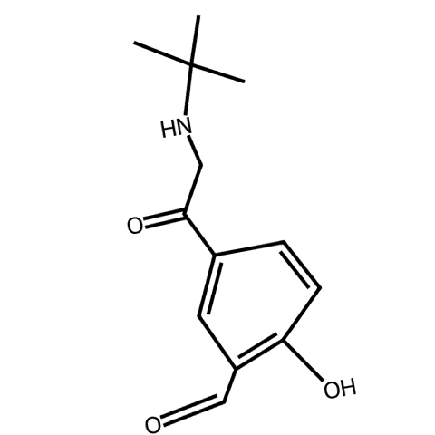 CC(C)(C)NCC(=O)c1ccc(O)c(C=O)c1